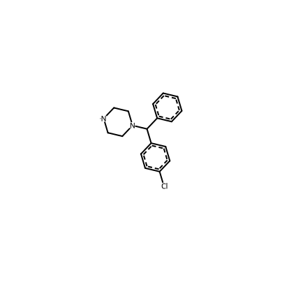 Clc1ccc(C(c2ccccc2)N2CC[N]CC2)cc1